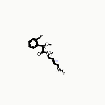 CO[C@@H](C(=O)NC/C=C/CN)c1ccccc1F